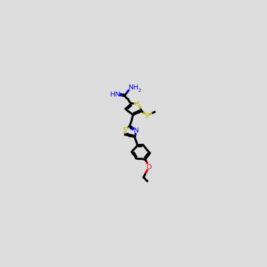 CCOc1ccc(-c2csc(-c3cc(C(=N)N)sc3SC)n2)cc1